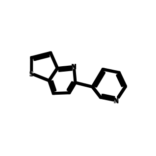 c1cncc(-c2ccc3sccc3n2)c1